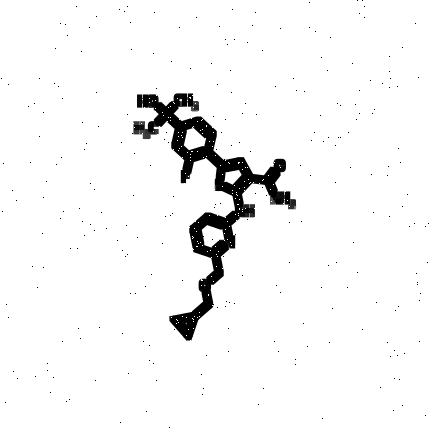 CC(C)(O)c1ccc(-c2cc(C(N)=O)c(Nc3cccc(COCC4CC4)n3)s2)c(F)c1